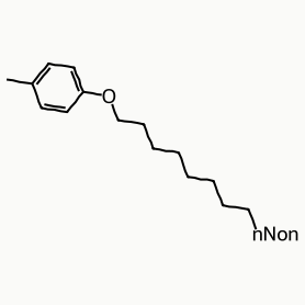 CCCCCCCCCCCCCCCCCOc1ccc(C)cc1